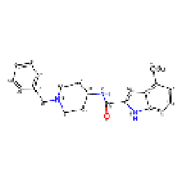 CC(C)COc1cccc2[nH]c(C(=O)NC3CCN(Cc4ccccc4)CC3)cc12